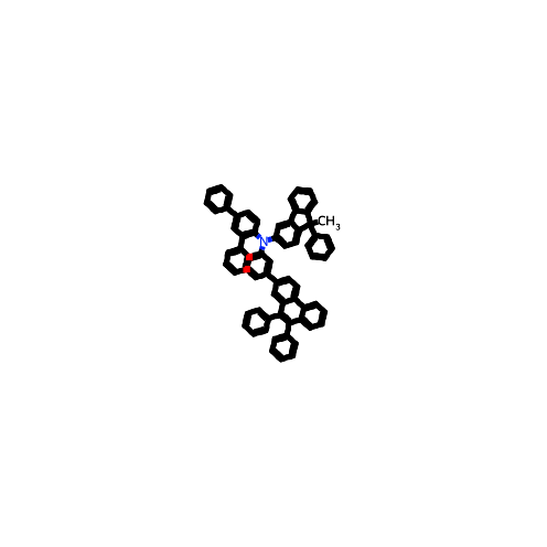 CC1(c2ccccc2)c2ccccc2-c2cc(N(c3cccc(-c4ccc5c(c4)c(-c4ccccc4)c(-c4ccccc4)c4ccccc45)c3)c3ccc(-c4ccccc4)cc3-c3ccccc3)ccc21